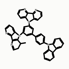 CC1CC=Nc2c1n(-c1cc(-c3ccc(-n4c5ccccc5c5ccccc54)cc3)cc(-n3c4cccnc4c4ncccc43)c1)c1cccnc21